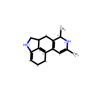 CC1=CC2=C(CC3CNC4=CCCC2=C43)C(C)N1